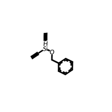 C#C[SiH](C#C)OCc1ccccc1